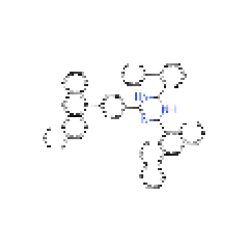 c1ccc(-c2ccccc2C2NC(c3ccc(-c4c5ccccc5cc5c4ccc4ccccc45)cc3)=NC(c3c4ccccc4cc4c3ccc3ccccc34)N2)cc1